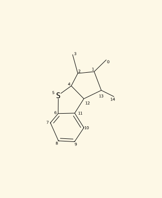 CC1C(C)C2Sc3ccccc3C2C1C